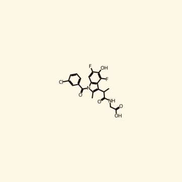 Cc1c(C(C)C(=O)NCC(=O)O)c2c(F)c(O)c(F)cc2n1C(=O)c1cccc(Cl)c1